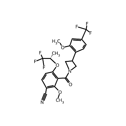 COc1cc(C(F)(F)F)ccc1C1CN(C(=O)c2c(O[C@@H](C)C(F)(F)F)ccc(C#N)c2OC)C1